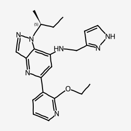 CCOc1ncccc1-c1cc(NCc2cc[nH]n2)c2c(cnn2[C@@H](C)CC)n1